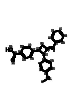 COc1ccc(N2C(=Nc3ccccc3)CC2c2ccc(C(=O)O)cc2)cc1